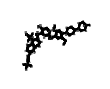 CCc1cc(Nc2ncc(Br)c(Nc3ccc4nc(C#C[Si](C)(C)C)ccc4c3P(C)(C)=O)n2)c(OC)cc1N1CCC(N2CCN(C)CC2)CC1